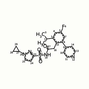 CC(C)c1cc(F)cc(-c2ccncc2)c1CC(=O)NS(=O)(=O)c1ccn(C2CC2)n1